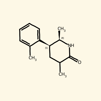 Cc1ccccc1[C@@H]1CC(C)C(=O)N[C@@H]1C